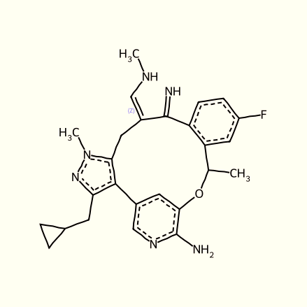 CN/C=C1/Cc2c(c(CC3CC3)nn2C)-c2cnc(N)c(c2)OC(C)c2cc(F)ccc2C1=N